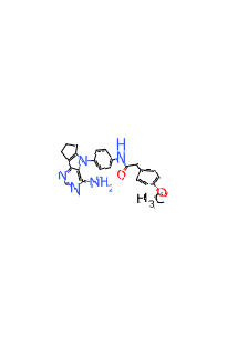 COc1ccc(CC(=O)Nc2ccc(-n3c4c(c5ncnc(N)c53)CCC4)cc2)cc1